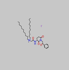 CCCCCCCCCCC[N+](C)(CCCCCCCCCCC)CC(=O)NC1CCC(=O)N(CC(=O)c2ccccc2)C1=O.[I-]